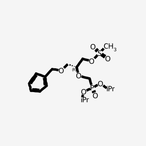 CC(C)OP(=O)(CO[C@H](COCc1ccccc1)COS(C)(=O)=O)OC(C)C